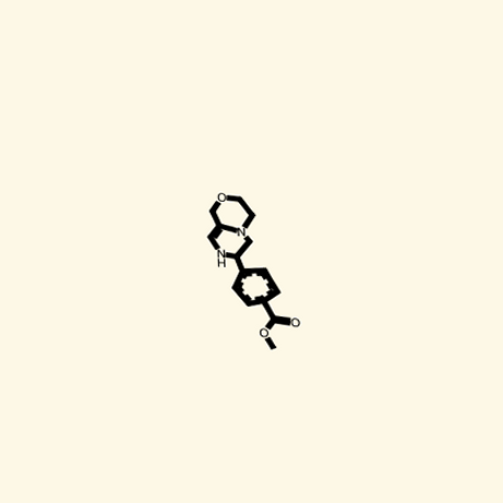 COC(=O)c1ccc(C2CN3CCOCC3=CN2)cc1